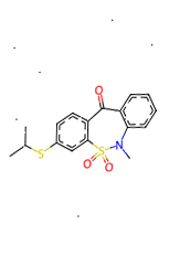 CC(C)Sc1ccc2c(c1)S(=O)(=O)N(C)c1ccccc1C2=O